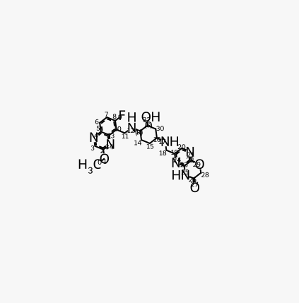 COc1cnc2ccc(F)c(CN[C@@H]3CCC(NCc4cnc5c(n4)NC(=O)CO5)C[C@@H]3O)c2n1